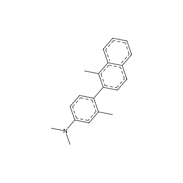 Cc1cc(N(C)C)ccc1-c1ccc2ccccc2c1C